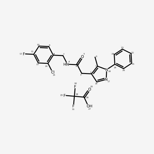 Cc1c(CC(=O)NCc2ccc(F)cc2Cl)cnn1-c1ccccc1.O=C(O)C(F)(F)F